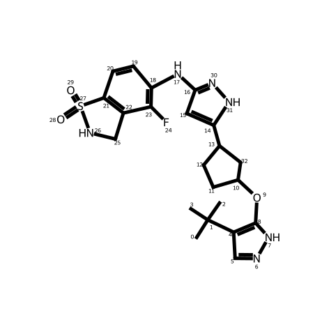 CC(C)(C)c1cn[nH]c1OC1CCC(c2cc(Nc3ccc4c(c3F)CNS4(=O)=O)n[nH]2)C1